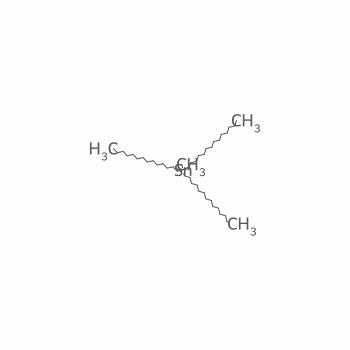 CCCCCCCCCCCCC[CH2][Sn]([CH3])([CH2]CCCCCCCCCCCCC)[CH2]CCCCCCCCCCCCC